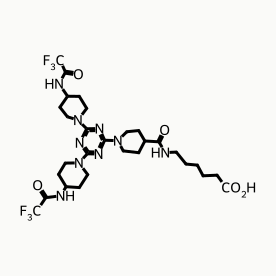 O=C(O)CCCCCNC(=O)C1CCN(c2nc(N3CCC(NC(=O)C(F)(F)F)CC3)nc(N3CCC(NC(=O)C(F)(F)F)CC3)n2)CC1